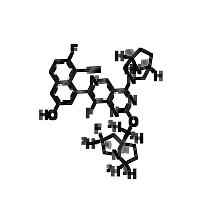 [2H]C1([2H])CC[C@@]2(C([2H])([2H])Oc3nc(N4C[C@H]5CC[C@@H](C4)N5)c4cnc(-c5cc(O)cc6ccc(F)c(C#C)c56)c(F)c4n3)C[C@@]([2H])(F)CN12